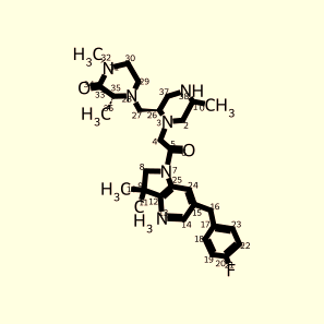 CC1CN(CC(=O)N2CC(C)(C)c3ncc(Cc4ccc(F)cc4)cc32)[C@@H](CN2CCN(C)C(=O)[C@H]2C)CN1